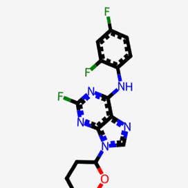 Fc1ccc(Nc2nc(F)nc3c2ncn3C2CCCCO2)c(F)c1